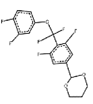 Fc1ccc(OC(F)(F)c2c(F)cc(C3OCCCO3)cc2F)cc1F